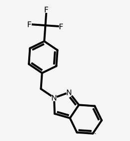 FC(F)(F)c1ccc(Cn2cc3c[c]ccc3n2)cc1